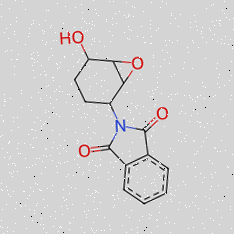 O=C1c2ccccc2C(=O)N1C1CCC(O)C2OC21